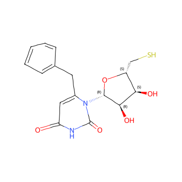 O=c1cc(Cc2ccccc2)n([C@@H]2O[C@H](CS)[C@@H](O)[C@H]2O)c(=O)[nH]1